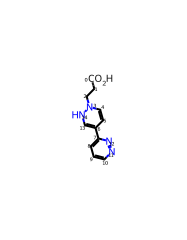 O=C(O)CCN1C=CC(c2cccnn2)=CN1